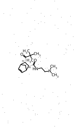 CN(C)CCNC(=O)[C@@H]1C2C=CC(C2)[C@@H]1C(=O)C(C)(C)C